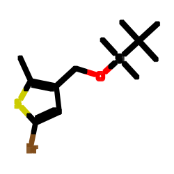 Cc1sc(Br)cc1CO[Si](C)(C)C(C)(C)C